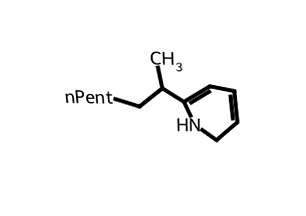 CCCCCCC(C)C1=CC=CCN1